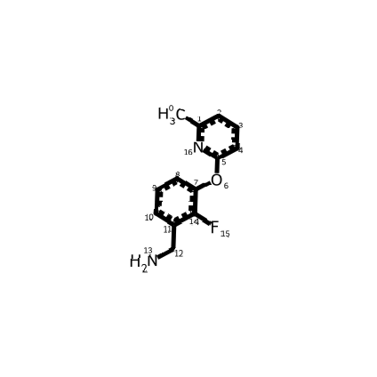 Cc1cccc(Oc2cccc(CN)c2F)n1